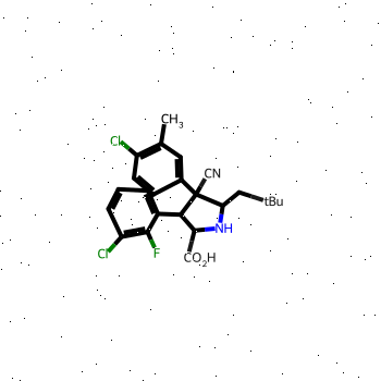 Cc1cc(C2(C#N)C(CC(C)(C)C)NC(C(=O)O)C2c2cccc(Cl)c2F)ccc1Cl